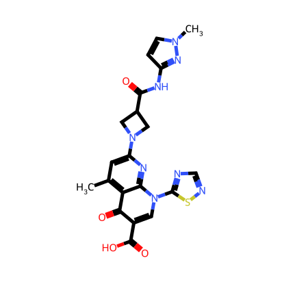 Cc1cc(N2CC(C(=O)Nc3ccn(C)n3)C2)nc2c1c(=O)c(C(=O)O)cn2-c1ncns1